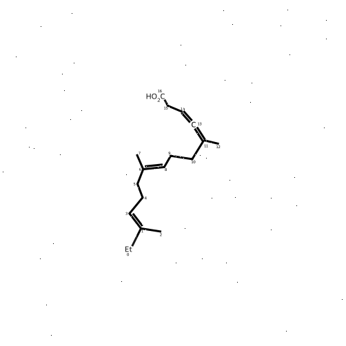 CCC(C)=CCCC(C)=CCCC(C)=C=CCC(=O)O